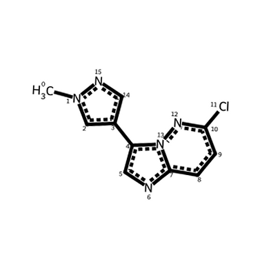 Cn1cc(-c2cnc3ccc(Cl)nn23)cn1